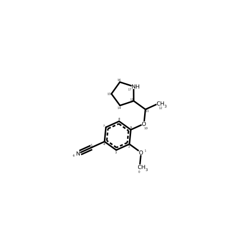 COc1cc(C#N)ccc1OC(C)C1CCCN1